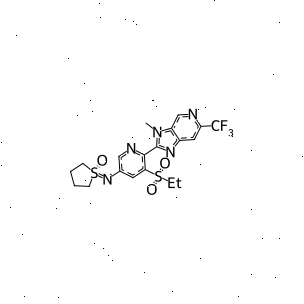 CCS(=O)(=O)c1cc(N=S2(=O)CCCC2)cnc1-c1nc2cc(C(F)(F)F)ncc2n1C